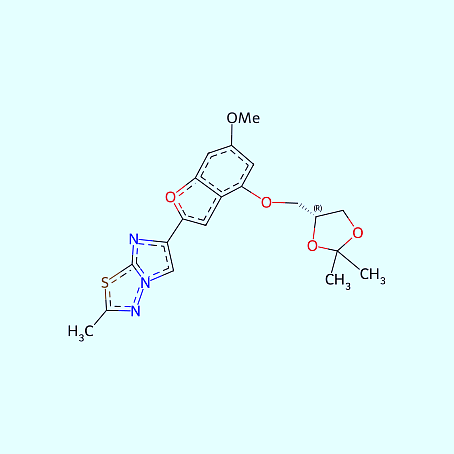 COc1cc(OC[C@@H]2COC(C)(C)O2)c2cc(-c3cn4nc(C)sc4n3)oc2c1